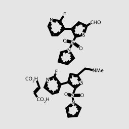 CNCc1cc(-c2cccnc2F)c(S(=O)(=O)n2cccc2)s1.O=C(O)C=CC(=O)O.O=Cc1cc(-c2cccnc2F)c(S(=O)(=O)n2cccc2)s1